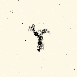 CCN(CC)C[C@@H](O)COc1ccc(-c2cc3c(Oc4ccc(NC(=O)NC5CC5)c(Cl)c4)ncnc3n2COCC[Si](C)(C)C)cc1